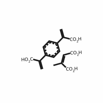 C/C(=C/C(=O)O)C(=O)O.C=C(C(=O)O)c1ccc(C(=C)C(=O)O)cc1